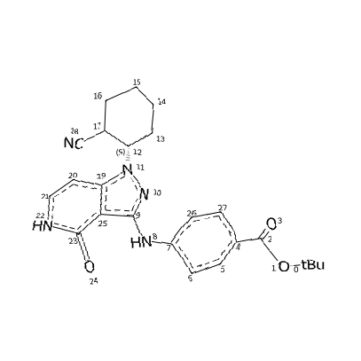 CC(C)(C)OC(=O)c1ccc(Nc2nn([C@H]3CCCCC3C#N)c3cc[nH]c(=O)c23)cc1